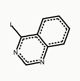 Ic1ncnc2ccccc12